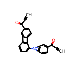 C#CC(=O)c1ccc2c(c1)-c1cccc(N3c4ccc(C(=O)C#C)cc43)c1-2